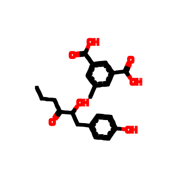 CCCC(=O)C(O)Cc1ccc(O)cc1.Cc1cc(C(=O)O)cc(C(=O)O)c1